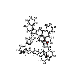 CC12c3ccc(cc3)C3(c4ccccc4)c4ccccc4-c4ccc(cc43)N(c3c(-c4ccccc4-c4ccccc4)ccc4c3oc3ccc5ccccc5c34)c3ccc(c1c3)-c1ccccc12